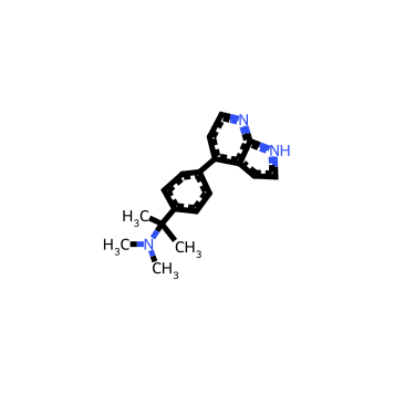 CN(C)C(C)(C)c1ccc(-c2ccnc3[nH]ccc23)cc1